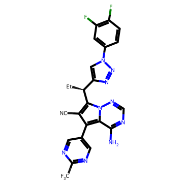 CC[C@@H](c1cn(-c2ccc(F)c(F)c2)nn1)c1c(C#N)c(-c2cnc(C(F)(F)F)nc2)c2c(N)ncnn12